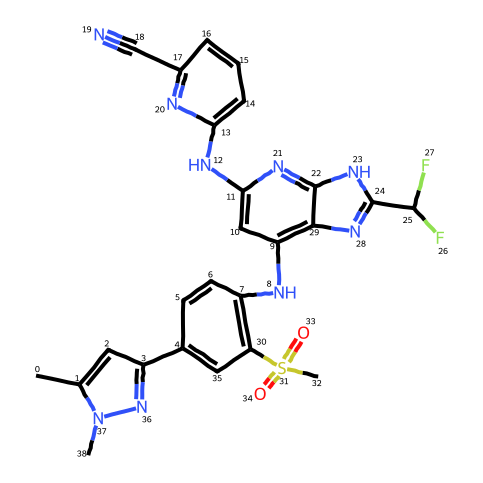 Cc1cc(-c2ccc(Nc3cc(Nc4cccc(C#N)n4)nc4[nH]c(C(F)F)nc34)c(S(C)(=O)=O)c2)nn1C